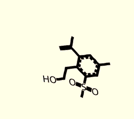 C=C(C)c1cc(C)cc(S(C)(=O)=O)c1CCO